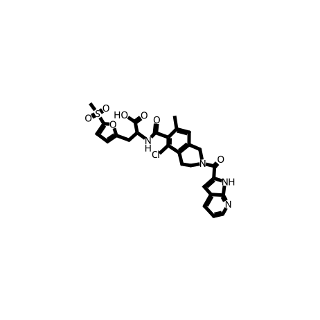 Cc1cc2c(c(Cl)c1C(=O)NC(Cc1ccc(S(C)(=O)=O)o1)C(=O)O)CCN(C(=O)c1cc3cccnc3[nH]1)C2